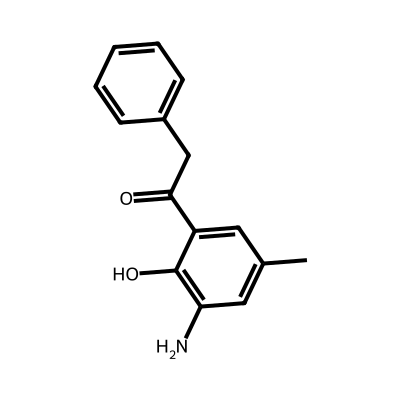 Cc1cc(N)c(O)c(C(=O)Cc2ccccc2)c1